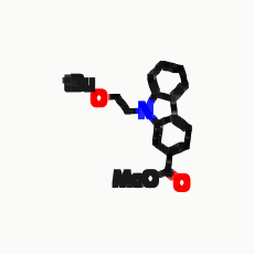 COC(=O)c1ccc2c3ccccc3n(CCOC(C)(C)C)c2c1